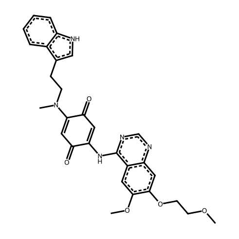 COCCOc1cc2ncnc(NC3=CC(=O)C(N(C)CCc4c[nH]c5ccccc45)=CC3=O)c2cc1OC